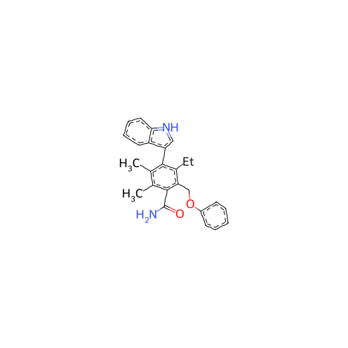 CCc1c(COc2ccccc2)c(C(N)=O)c(C)c(C)c1-c1c[nH]c2ccccc12